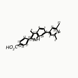 Cc1cc(-c2ccc3c(C)c(-c4ccc(C(=O)O)cc4)[nH]c3c2)cc(C)n1